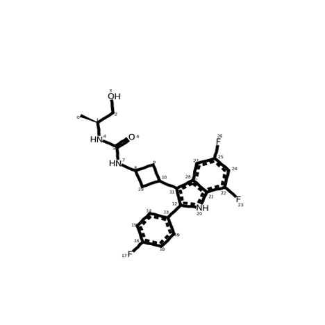 C[C@@H](CO)NC(=O)NC1CC(c2c(-c3ccc(F)cc3)[nH]c3c(F)cc(F)cc23)C1